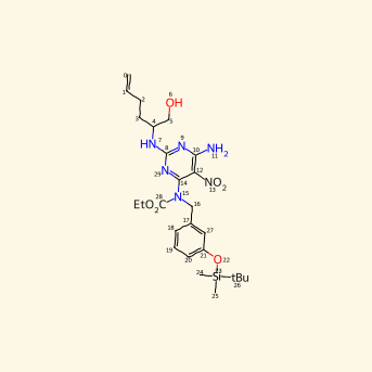 C=CCCC(CO)Nc1nc(N)c([N+](=O)[O-])c(N(Cc2cccc(O[Si](C)(C)C(C)(C)C)c2)C(=O)OCC)n1